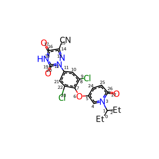 CCC(CC)n1cc(Oc2c(Cl)cc(-n3nc(C#N)c(=O)[nH]c3=O)cc2Cl)ccc1=O